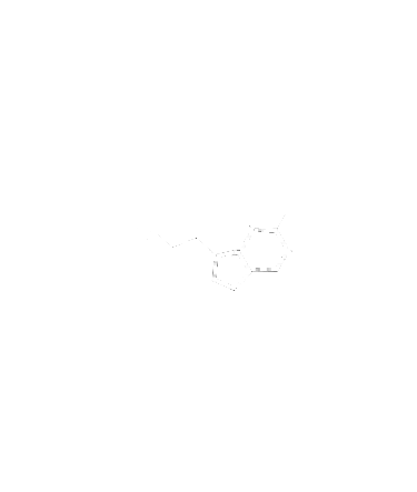 O=C(O)CCn1ccc2cnc(Cl)nc21